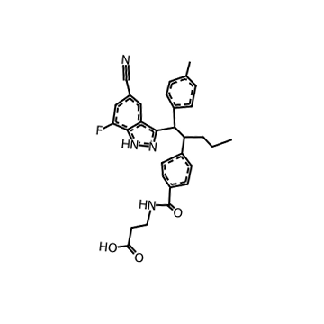 CCCC(c1ccc(C(=O)NCCC(=O)O)cc1)C(c1ccc(C)cc1)c1n[nH]c2c(F)cc(C#N)cc12